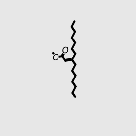 CCCCCCCC(=CC(=O)OC)CCCCCCC